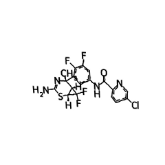 C[C@]1(c2cc(NC(=O)c3ccc(Cl)cn3)cc(F)c2F)N=C(N)S[C@@H]2[C@H]1C2(F)F